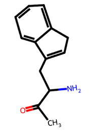 CC(=O)C(N)CC1=CCc2ccccc21